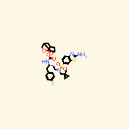 CC1(CN(CC[C@H](Cc2ccc(F)cc2)NC(=O)OC2C3COC4OC2CC4C3)S(=O)(=O)c2ccc3nc(N)sc3c2)CC1